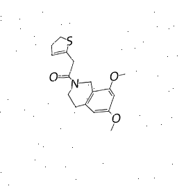 COc1cc2c(c(OC)c1)CN(C(=O)CC1=CCCS1)CC2